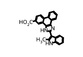 Cc1[nH]c2ccccc2c1-c1nc2c3ccccc3c3ccc(C(=O)O)cc3c2[nH]1